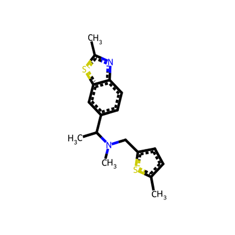 Cc1ccc(CN(C)C(C)c2ccc3nc(C)sc3c2)s1